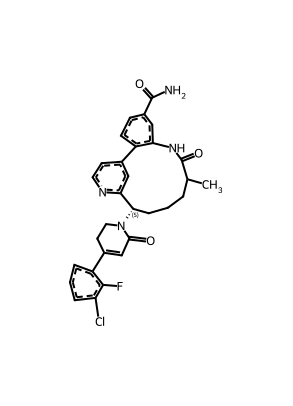 CC1CCC[C@H](N2CCC(c3cccc(Cl)c3F)=CC2=O)c2cc(ccn2)-c2ccc(C(N)=O)cc2NC1=O